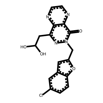 O=c1c2nccnc2c(CC(O)O)nn1Cc1cc2cc(Cl)ccc2o1